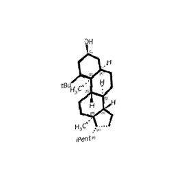 [CH2]CC[C@@H](C)[C@H]1CC[C@H]2[C@@H]3CC[C@@H]4C[C@H](O)CC(C(C)(C)C)[C@]4(C)[C@H]3CC[C@]12C